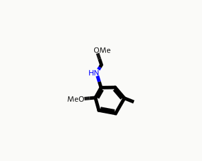 COCNc1cc(C)ccc1OC